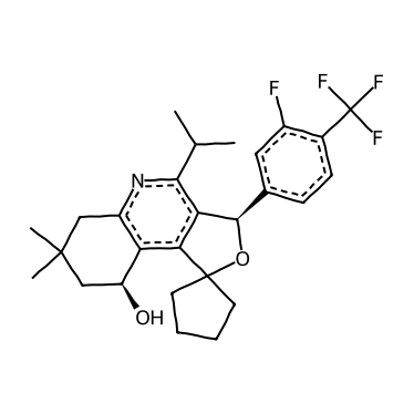 CC(C)c1nc2c(c3c1[C@@H](c1ccc(C(F)(F)F)c(F)c1)OC31CCCC1)[C@@H](O)CC(C)(C)C2